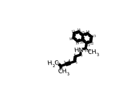 C=C(C)C#C/C=C/CN[C@H](C)c1cccc2ccccc12